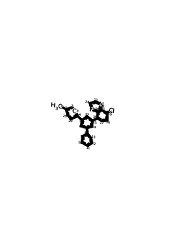 Cc1ccc(-c2cc(-c3ccccc3)cc(-c3ccc(Cl)c4nccnc34)c2)cc1